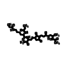 CCC(=O)NCCCCC(NC(=O)CC)C(=O)NC(CSC1CC(=O)N(CCC(=O)NCC(C)NC(C)=O)C1=O)C(N)=O